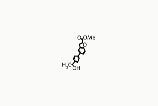 COC(=O)C1Cc2cc(-c3ccc(C(C)O)cc3)ccc2O1